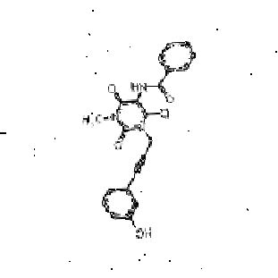 Cn1c(=O)c(NC(=O)c2ccccc2)c(Cl)n(CC#Cc2cccc(O)c2)c1=O